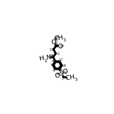 CCS(=O)(=O)c1ccc(C(N)CCC(=O)OC)cc1